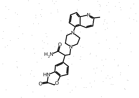 Cc1ccc2c(N3CCN(CC(C(N)=O)c4ccc5c(c4)NC(=O)CO5)CC3)cccc2n1